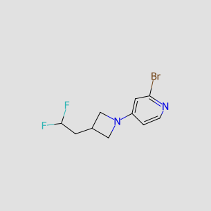 FC(F)CC1CN(c2ccnc(Br)c2)C1